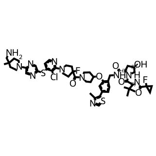 Cc1ncsc1-c1ccc(CNC(=O)[C@@H]2C[C@@H](O)CN2C(=O)[C@@H](NC(=O)C2(F)CC2)C(C)(C)C)c(OC2CCN(C(=O)C3(F)CCN(c4nccc(Sc5cnc(N6CCC(C)(CN)CC6)cn5)c4Cl)CC3)CC2)c1